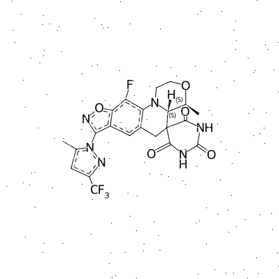 Cc1cc(C(F)(F)F)nn1-c1noc2c(F)c3c(cc12)CC1(C(=O)NC(=O)NC1=O)[C@H]1[C@H](C)OCCN31